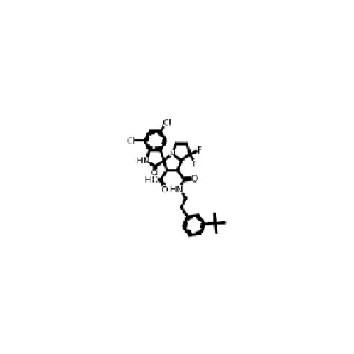 CC(C)(C)c1cccc(CCNC(=O)C2C3N(CCC3(F)F)C3(C(=O)Nc4c(Cl)cc(Cl)cc43)C2C(=O)O)c1